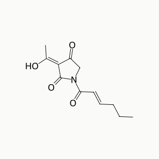 CCC/C=C/C(=O)N1CC(=O)/C(=C(\C)O)C1=O